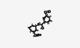 COc1cccc(SC(=O)c2cccc(C=O)n2)c1